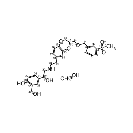 CS(=O)(=O)c1cccc(COC[C@@H]2COc3ccc(CCNC[C@H](O)c4ccc(O)c(CO)c4)cc3O2)c1.O=CO